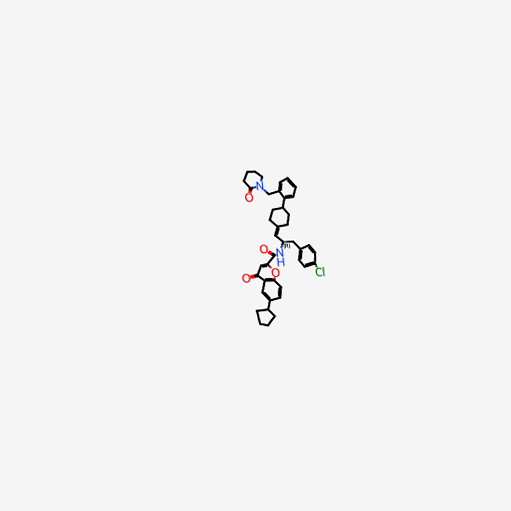 O=C(N[C@@H](C=C1CCC(c2ccccc2CN2CCCCC2=O)CC1)Cc1ccc(Cl)cc1)c1cc(=O)c2cc(C3CCCC3)ccc2o1